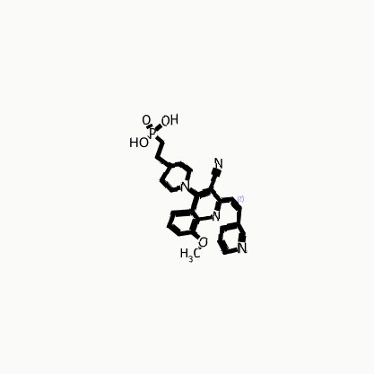 COc1cccc2c(N3CCC(CCP(=O)(O)O)CC3)c(C#N)c(/C=C\c3cccnc3)nc12